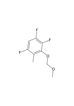 COCOc1c(C)c(F)cc(F)c1F